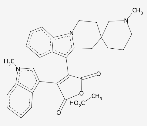 CC(=O)O.CN1CCCC2(CCn3c(c(C4=C(c5cn(C)c6ccccc56)C(=O)OC4=O)c4ccccc43)C2)C1